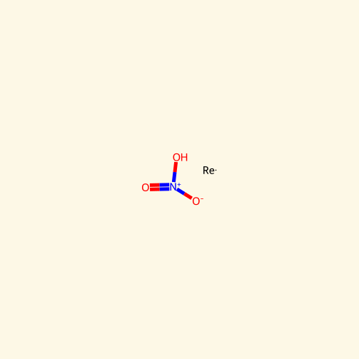 O=[N+]([O-])O.[Re]